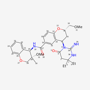 CCC1(CC)CC(=O)N([C@@H]2C[C@@H](COC)Oc3ccc(C(=O)N[C@@H]4c5ccccc5OC[C@@]4(C)OC)cc32)C(=N)N1